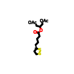 CC(=O)OCC(COC(C)=O)OC(=O)CCCC[C@@H]1CCSS1